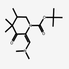 CC1CN(C(=O)OC(C)(C)C)/C(=C/N(C)C)C(=O)C1(C)C